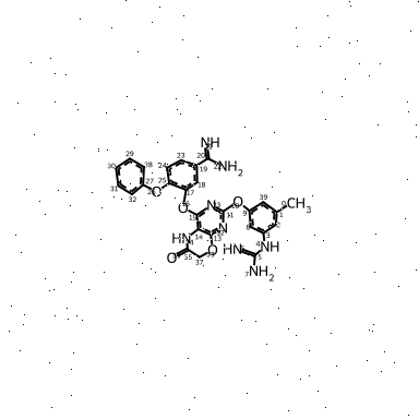 Cc1cc(NC(=N)N)cc(Oc2nc3c(c(Oc4cc(C(=N)N)ccc4Oc4ccccc4)n2)NC(=O)CO3)c1